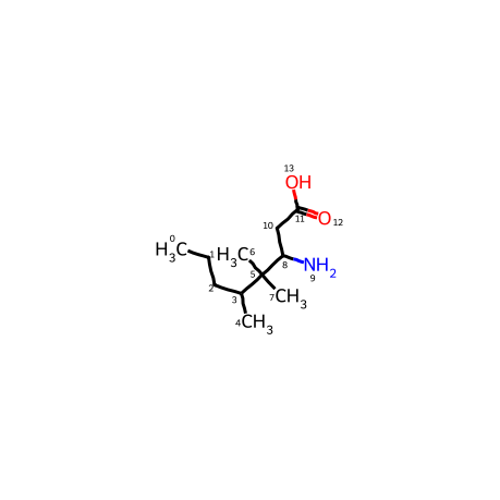 CCCC(C)C(C)(C)C(N)CC(=O)O